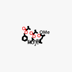 C=C(C)C(=O)OCC(CC)CCCC.C=C(C)C(=O)OCc1ccccc1.C=C(CC=C(C)C(=O)O)C(=O)OC